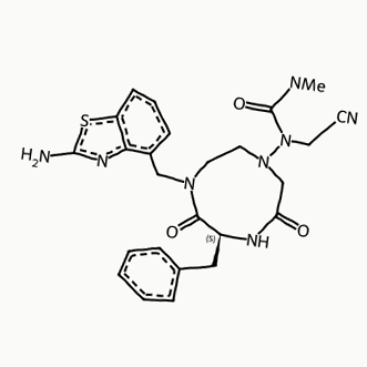 CNC(=O)N(CC#N)N1CCN(Cc2cccc3sc(N)nc23)C(=O)[C@H](Cc2ccccc2)NC(=O)C1